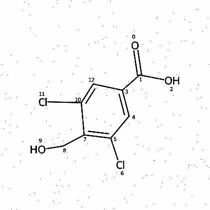 O=C(O)c1cc(Cl)c(CO)c(Cl)c1